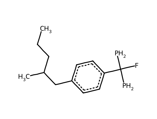 CCCC(C)Cc1ccc(C(F)(P)P)cc1